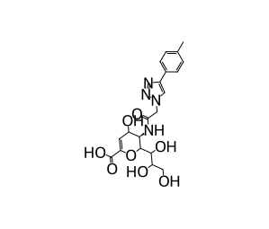 Cc1ccc(-c2cn(CC(=O)N[C@@H]3C(O)C=C(C(=O)O)OC3C(O)C(O)CO)nn2)cc1